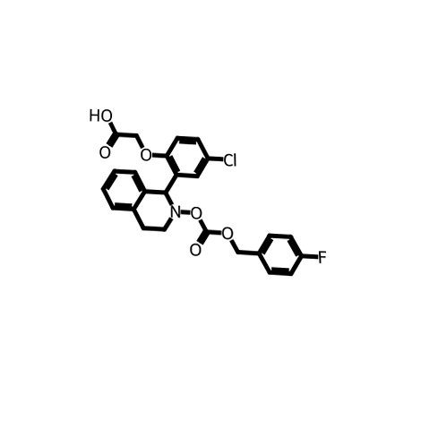 O=C(O)COc1ccc(Cl)cc1C1c2ccccc2CCN1OC(=O)OCc1ccc(F)cc1